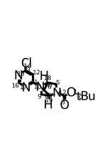 CC(C)(C)OC(=O)N1C[C@@H]2C[C@H]1CN2c1cc(Cl)ncn1